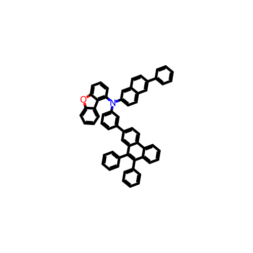 c1ccc(-c2ccc3cc(N(c4cccc(-c5ccc6c(c5)c(-c5ccccc5)c(-c5ccccc5)c5ccccc56)c4)c4cccc5oc6ccccc6c45)ccc3c2)cc1